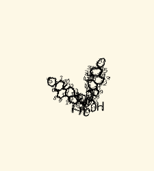 CC12CCC(=O)C=C1CCC1C2CCC2(C)C1CCC2(OCOC1(C(=O)CO)CCC2C3CCC4=CC(=O)CCC4(C)C3CCC21C)C(=O)CO